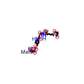 CNC(=O)C1(NC(=O)OCc2ccc(NC(=O)CNC(=O)C(NC(=O)CCCCCN3C(=O)C=CC3=O)C(C)C)cc2)COC1